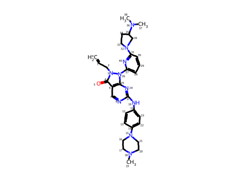 C=CCn1c(=O)c2cnc(Nc3ccc(N4CCN(C)CC4)cc3)nc2n1-c1cccc(N2CCC(N(C)C)C2)n1